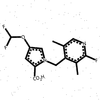 Cc1cnc(F)c(C)c1Cn1cc(OC(F)F)cc1C(=O)O